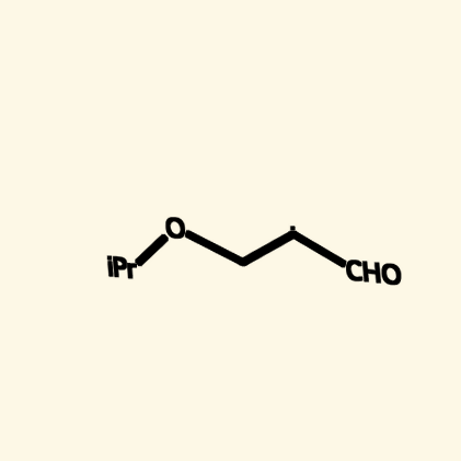 CC(C)OC[CH]C=O